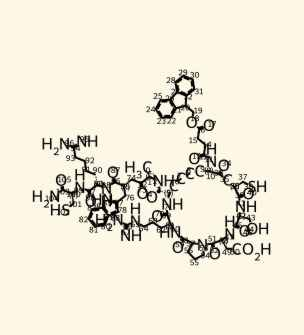 C[C@H](NC(=O)[C@@H]1CCCC[C@H](NC(=O)CCC(=O)OCC2c3ccccc3-c3ccccc32)C(=O)C[C@@H](CS)C(=O)N[C@@H](CO)C(=O)N[C@@H](CC(=O)O)C(=O)N2CCCC2C(=O)N[C@@H](CCCNC(=N)N)C(=O)N1)C(=O)C[C@@H](Cc1cc2ccccc2[nH]1)C(=O)N[C@@H](CCCCC(=N)N)C(=O)N[C@@H](CS)C(N)=O